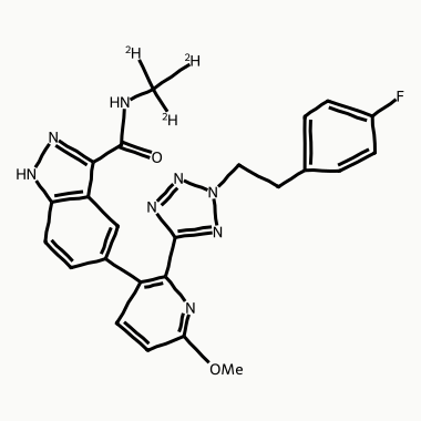 [2H]C([2H])([2H])NC(=O)c1n[nH]c2ccc(-c3ccc(OC)nc3-c3nnn(CCc4ccc(F)cc4)n3)cc12